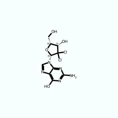 Nc1nc(O)c2ncn([C@@H]3O[C@H](CO)[C@H](O)C3(Cl)Cl)c2n1